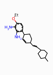 CCOc1ccc(C2C=CC(/C=C/C3CCC(C)CC3)CC2)c(N)c1N